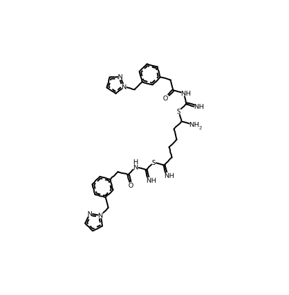 N=C(CCCCC(N)SC(=N)NC(=O)Cc1cccc(Cn2cccn2)c1)SC(=N)NC(=O)Cc1cccc(Cn2cccn2)c1